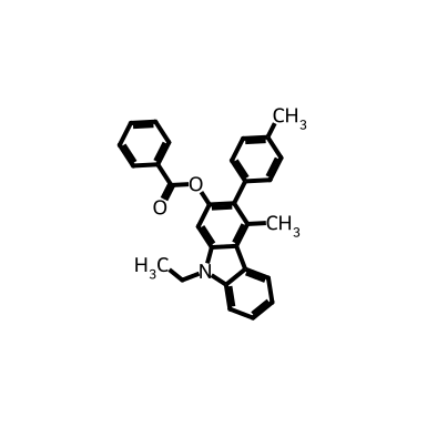 CCn1c2ccccc2c2c(C)c(-c3ccc(C)cc3)c(OC(=O)c3ccccc3)cc21